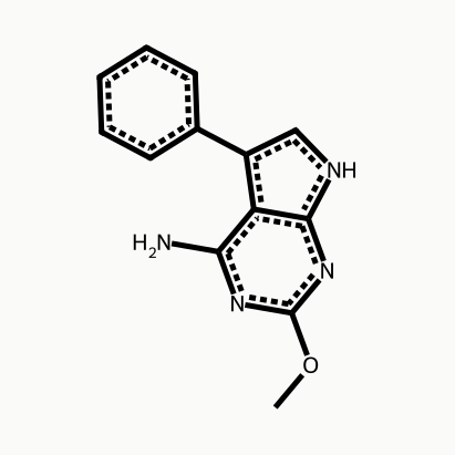 COc1nc(N)c2c(-c3ccccc3)c[nH]c2n1